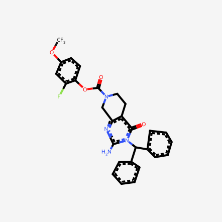 Nc1nc2c(c(=O)n1C(c1ccccc1)c1ccccc1)CCN(C(=O)Oc1ccc(OC(F)(F)F)cc1F)C2